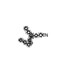 N#Cc1ccc(-c2ccc(-c3nc(-c4ccc(-c5cc#ccc5)cc4)nc(-c4ccc5c(c4)oc4cccc(-c6ccc(-c7ccccc7)cc6)c45)n3)cc2)cc1